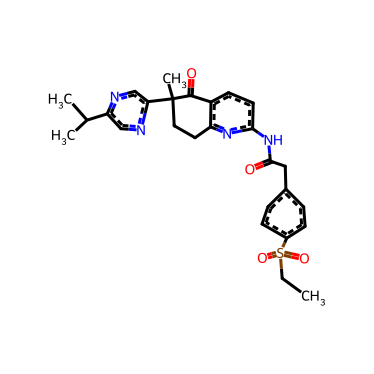 CCS(=O)(=O)c1ccc(CC(=O)Nc2ccc3c(n2)CCC(C)(c2cnc(C(C)C)cn2)C3=O)cc1